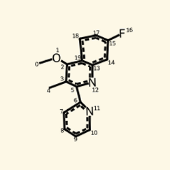 COc1c(C)c(-c2ccccn2)nc2cc(F)ccc12